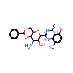 CC(=N)/N=C(\Nc1cc(Br)ccc1C#N)C1OC2COC(c3ccccc3)OC2C(N)C1O